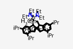 CC[N](CC)[Zr]([N](CC)CC)[Sn]([CH3])([CH2]C1C(C)=Cc2c(C(C)C)cc(C(C)C)cc21)[CH]1C(C)=Cc2c(C(C)C)cc(C(C)C)cc21